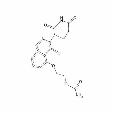 NC(=O)OCCOc1cccc2cnn(C3CCC(=O)NC3=O)c(=O)c12